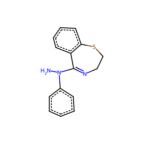 NN(C1=NCCSc2ccccc21)c1ccccc1